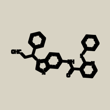 O=CCC(c1ccccc1)n1cnc2cc(NC(=O)c3cccnc3Sc3ccccc3)ccc21